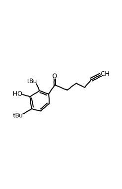 C#CCCCC(=O)c1ccc(C(C)(C)C)c(O)c1C(C)(C)C